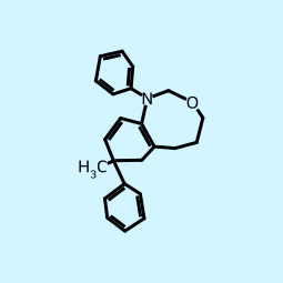 CC1(c2ccccc2)C=CC2=C(CCCOCN2c2ccccc2)C1